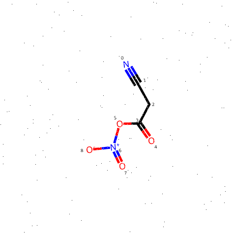 N#CCC(=O)O[N+](=O)[O-]